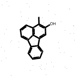 Cc1c(O)cc2c3c(cccc13)-c1ccccc1-2